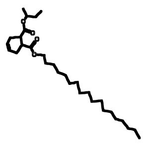 CCCCCCCCCCCCCCCCCCOC(=O)C1CC=CCC1C(=O)OC(C)CC